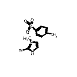 CCc1[nH]cc[n+]1C.Cc1ccc(S(=O)(=O)[O-])cc1